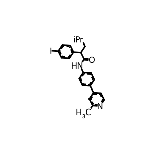 Cc1cc(-c2ccc(NC(=O)C(CC(C)C)c3ccc(I)cc3)cc2)ccn1